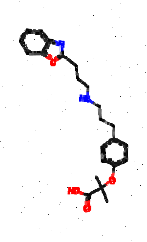 CC(C)(Oc1ccc(CCCNCCCc2nc3ccccc3o2)cc1)C(=O)O